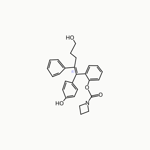 O=C(Oc1ccccc1/C(=C(\CCCO)c1ccccc1)c1ccc(O)cc1)N1CCC1